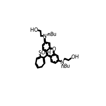 CCCCN(CCO)c1ccc2c(C3=CCC=CC=C3S(=O)(=O)O)c3cc/c(=[N+](\CCO)CCCC)cc-3oc2c1